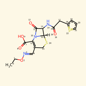 CCON=CC1=C(C(=O)O)N2C(=O)C(NC(=O)Cc3cccs3)[C@@H]2SC1